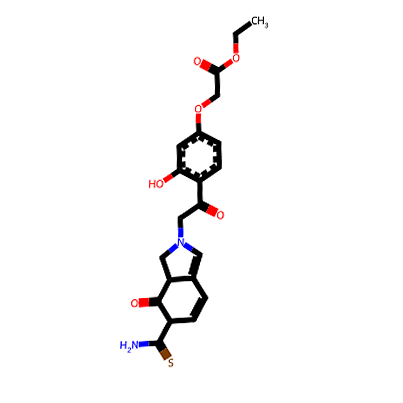 CCOC(=O)COc1ccc(C(=O)CN2C=C3C=CC(C(N)=S)C(=O)C3C2)c(O)c1